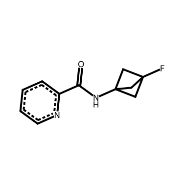 O=C(NC12CC(F)(C1)C2)c1ccccn1